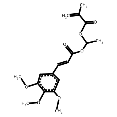 C=C(C)C(=O)OC(C)OC(=O)C=Cc1cc(OC)c(OC)c(OC)c1